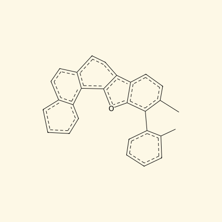 Cc1ccccc1-c1c(C)ccc2c1oc1c2ccc2ccc3ccccc3c21